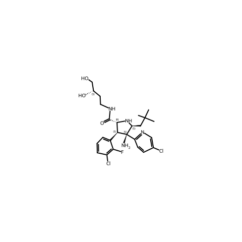 CC(C)(C)C[C@@H]1N[C@@H](C(=O)NCC[C@H](O)CO)[C@H](c2cccc(Cl)c2F)[C@@]1(N)c1ccc(Cl)cn1